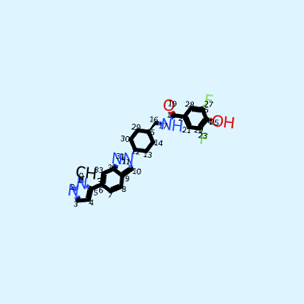 Cn1nccc1-c1ccc2cn([C@H]3CC[C@H](CNC(=O)c4cc(F)c(O)c(F)c4)CC3)nc2c1